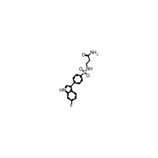 NC(=O)CCNS(=O)(=O)c1ccc(-c2c[nH]c3cc(F)ccc23)cc1